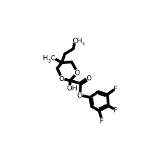 CCCC1(C)COC(O)(C(=O)Oc2cc(F)c(F)c(F)c2)OC1